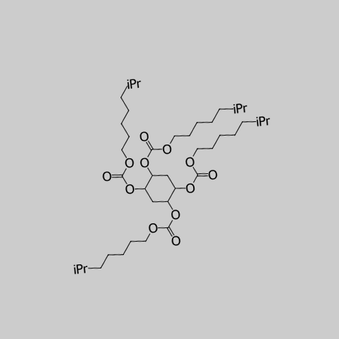 CC(C)CCCCCOC(=O)OC1CC(OC(=O)OCCCCCC(C)C)C(OC(=O)OCCCCCC(C)C)CC1OC(=O)OCCCCCC(C)C